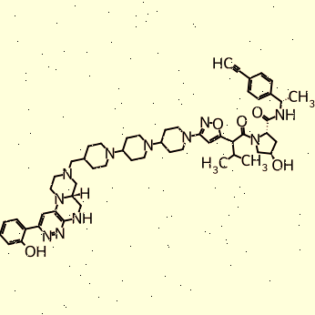 C#Cc1ccc([C@H](C)NC(=O)[C@@H]2C[C@@H](O)CN2C(=O)C(c2cc(N3CCC(N4CCC(N5CCC(CN6CCN7c8cc(-c9ccccc9O)nnc8NC[C@H]7C6)CC5)CC4)CC3)no2)C(C)C)cc1